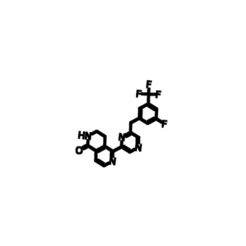 O=C1NCCc2c1ccnc2-c1cncc(Cc2cc(F)cc(C(F)(F)F)c2)n1